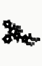 CCOC(=O)Nc1cc(-c2cc3c(cc2F)N(c2ccccc2)CC(C2CCCCC2)N(C)S3(O)O)sc1C(=O)O